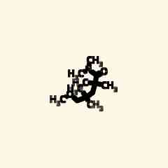 COCC(C)(C)CC(C)(C)C(=O)N(C)C